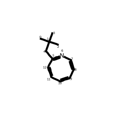 CC(C)(C)CC1=N/C=C\C=C/C=C\1